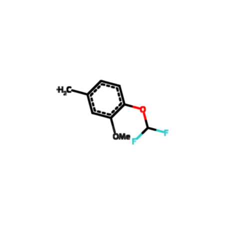 [CH2]c1ccc(OC(F)F)c(OC)c1